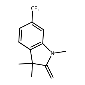 C=C1N(C)c2cc(C(F)(F)F)ccc2C1(C)C